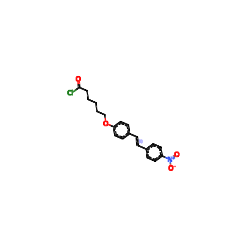 O=C(Cl)CCCCCOc1ccc(/C=C/c2ccc([N+](=O)[O-])cc2)cc1